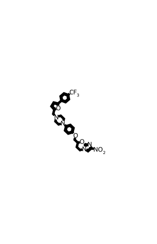 O=[N+]([O-])c1cn2c(n1)OC(COc1ccc(N3CCN(Cc4ccc(-c5ccc(C(F)(F)F)cc5)o4)CC3)cc1)CC2